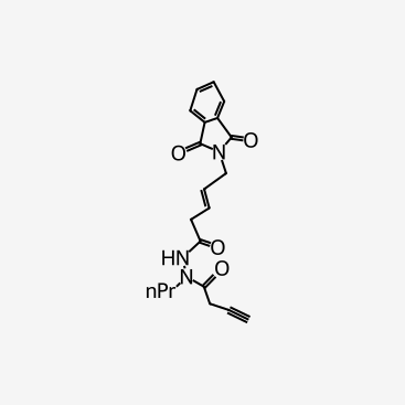 C#CCC(=O)N(CCC)NC(=O)CC=CCN1C(=O)c2ccccc2C1=O